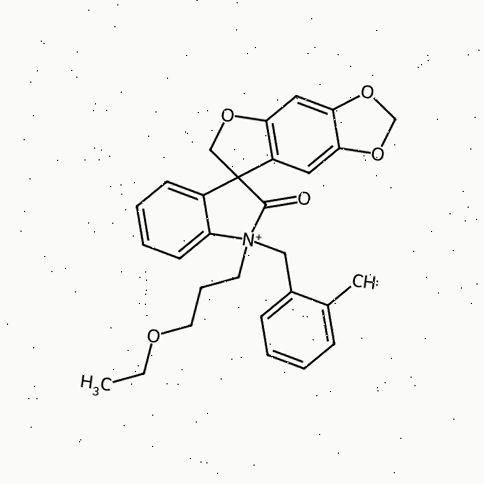 [CH]c1ccccc1C[N+]1(CCCOCC)C(=O)C2(COc3cc4c(cc32)OCO4)c2ccccc21